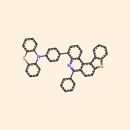 c1ccc(-c2nc3c(-c4ccc(N5c6ccccc6Sc6ccccc65)cc4)cccc3c3c2ccc2sc4ccccc4c23)cc1